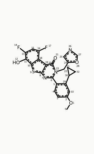 COc1ccc(-c2nc3sc4c(O)c(F)cc(F)c4c3c(=O)n2Cc2cnco2)c(C2CC2)c1